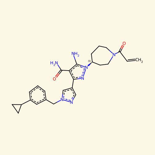 C=CC(=O)N1CCC[C@H](n2nc(-c3cnn(Cc4cccc(C5CC5)c4)c3)c(C(N)=O)c2N)CC1